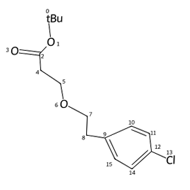 CC(C)(C)OC(=O)CCOCCc1ccc(Cl)cc1